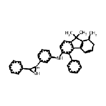 CC1CC=CC2=C1C(C)(C)c1ccc(Nc3cccc([C@H]4NC4c4ccccc4)c3)c(-c3ccccc3)c12